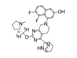 [2H]C([2H])(Oc1nc2c(c(N3CC4CCC3CN4)n1)CCN(c1cc(O)cc3ccc(F)c(F)c13)C2)[C@@H]1CCCN1C